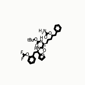 CC(C)(C)OC(=O)N[C@@H](CCCC(Cc1ccccc1)OC(N)=O)C(=O)NC(Cc1ccccc1OC(F)F)c1cccs1